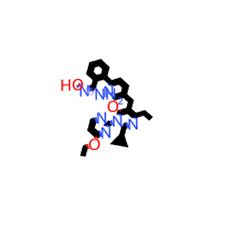 CCOc1ccnc(-n2c(C3CC3)nc(CC)c(Cc3ccc(-c4ccccc4/C(N)=N\O)nc3)c2=O)n1